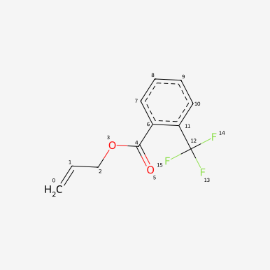 C=CCOC(=O)c1ccccc1C(F)(F)F